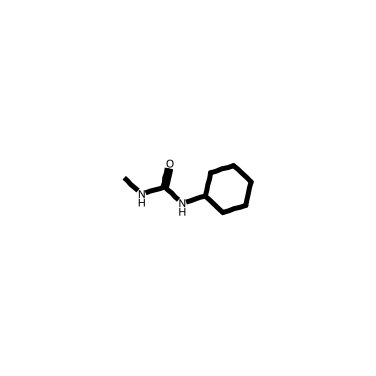 CNC(=O)NC1CCCCC1